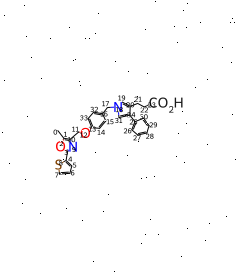 Cc1oc(-c2cccs2)nc1COc1ccc(Cn2cc(CCC(=O)O)c(-c3ccccc3)c2)cc1